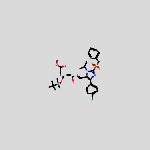 COC(=O)C[C@@H](CC(=O)C=Cc1c(-c2ccc(F)cc2)nc(S(=O)(=O)Cc2ccccc2)n1C(C)C)O[Si](C)(C)C(C)(C)C